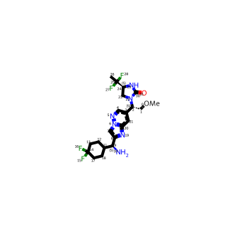 COC[C@H](c1cnn2cc([C@@H](N)C3CCC(F)(F)CC3)nc2c1)N1C[C@@H](C(C)(F)F)NC1=O